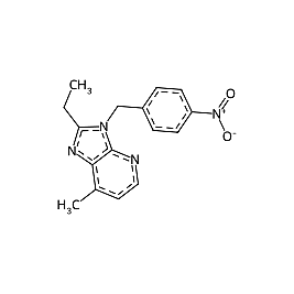 CCc1nc2c(C)ccnc2n1Cc1ccc([N+](=O)[O-])cc1